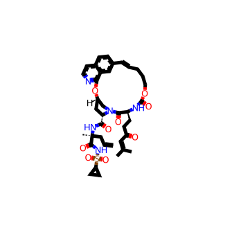 C=CC[C@](C)(NC(=O)[C@@H]1C[C@@H]2CN1C(=O)[C@H](CCC(=O)C=C(C)C)NC(=O)OCCC/C=C/c1ccc3ccnc(c3c1)O2)C(=O)NS(=O)(=O)C1CC1